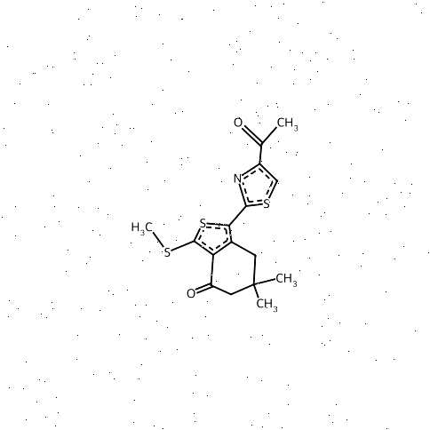 CSc1sc(-c2nc(C(C)=O)cs2)c2c1C(=O)CC(C)(C)C2